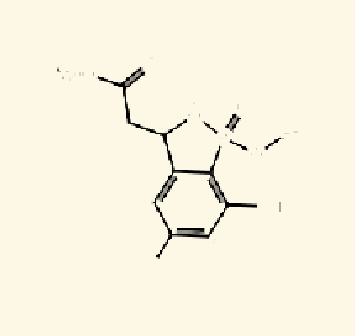 CCOP1(=O)OC(CC(=O)OC)c2cc(C)cc(C)c21